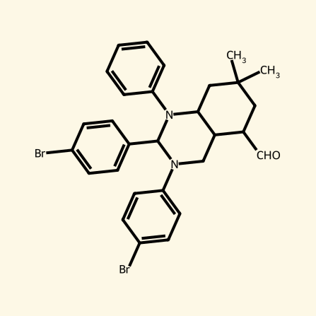 CC1(C)CC(C=O)C2CN(c3ccc(Br)cc3)C(c3ccc(Br)cc3)N(c3ccccc3)C2C1